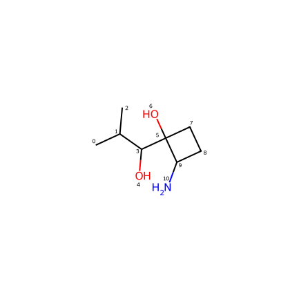 CC(C)C(O)C1(O)CCC1N